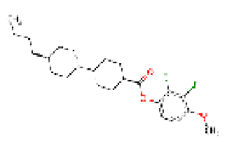 CCCC[C@H]1CC[C@H]([C@H]2CC[C@H](C(=O)Oc3ccc(OC)c(F)c3F)CC2)CC1